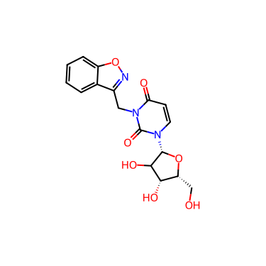 O=c1ccn([C@@H]2O[C@H](CO)[C@H](O)C2O)c(=O)n1Cc1noc2ccccc12